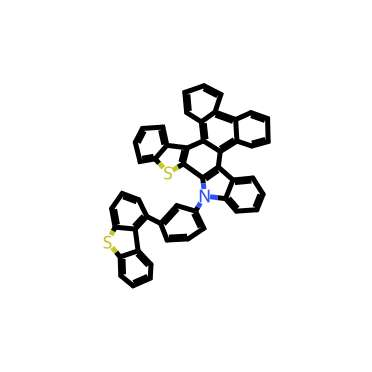 c1cc(-c2cccc3sc4ccccc4c23)cc(-n2c3ccccc3c3c4c5ccccc5c5ccccc5c4c4c5ccccc5sc4c32)c1